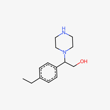 CCc1ccc(C(CO)N2CCNCC2)cc1